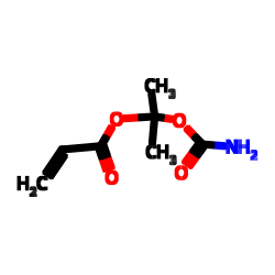 C=CC(=O)OC(C)(C)OC(N)=O